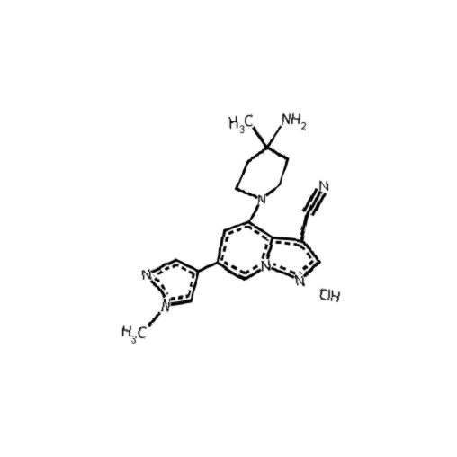 Cl.Cn1cc(-c2cc(N3CCC(C)(N)CC3)c3c(C#N)cnn3c2)cn1